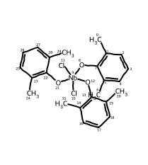 Cc1cccc(C)c1[O][Nb]([Cl])([Cl])([O]c1c(C)cccc1C)[O]c1c(C)cccc1C